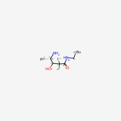 CC(C)[C@H](N)C(O)C(F)(F)C(=O)NCC(C)(C)C